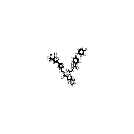 O=C(NCC(=O)N1CC2(CC1C(=O)NCc1cc(-c3cc(C(F)(F)F)[nH]n3)cs1)OCCO2)c1ccc(Oc2ccc(F)cc2)cc1